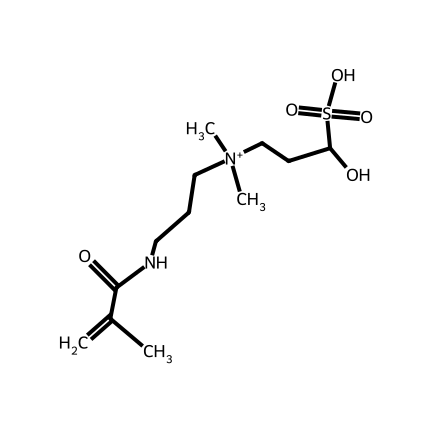 C=C(C)C(=O)NCCC[N+](C)(C)CCC(O)S(=O)(=O)O